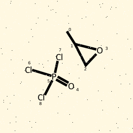 CC1CO1.O=P(Cl)(Cl)Cl